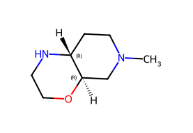 CN1CC[C@H]2NCCO[C@@H]2C1